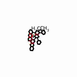 CC1(C)c2ccccc2-c2ccc(-c3ccccc3N(c3cccc(-c4ccc5ccccc5c4)c3)c3cccc(-c4ccccc4)c3-c3ccccc3-c3ccccc3)cc21